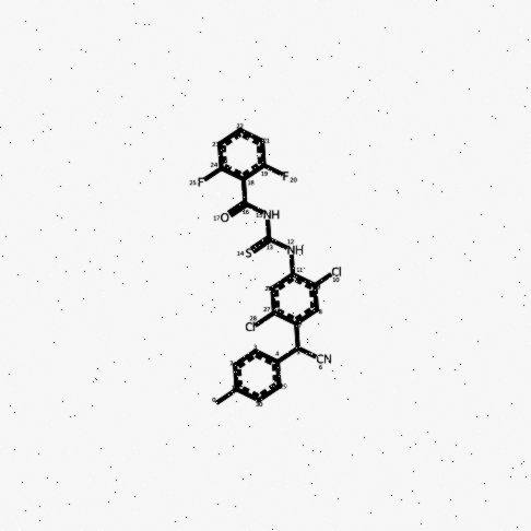 Cc1ccc(C(C#N)c2cc(Cl)c(NC(=S)NC(=O)c3c(F)cccc3F)cc2Cl)cc1